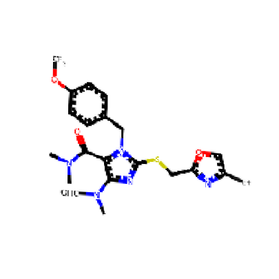 CCc1coc(CSc2nc(N(C)C=O)c(C(=O)N(C)C)n2Cc2ccc(OC(F)(F)F)cc2)n1